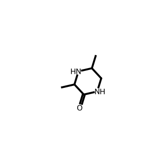 CC1CNC(=O)C(C)N1